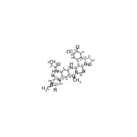 C=CC(=O)Nc1cc(Nc2cc(N3OCC[C@@H]3c3ccc(Cl)c(Cl)c3)ncn2)c(OC)cc1N1C[C@@H]2C[C@H]1CN2C